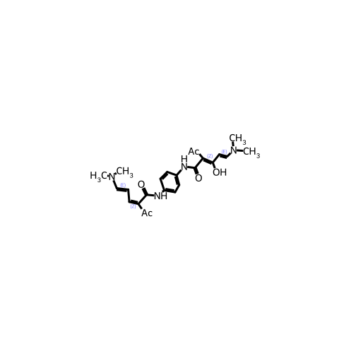 CC(=O)/C(=C/C=C/N(C)C)C(=O)Nc1ccc(NC(=O)/C(C(C)=O)=C(O)/C=C/N(C)C)cc1